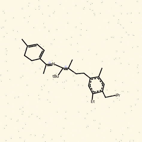 CCc1cc(CC/C(C)=C(/N=C(\C)C2=CC=C(C)CC2)C(C)(C)C)c(C)cc1CC(C)C